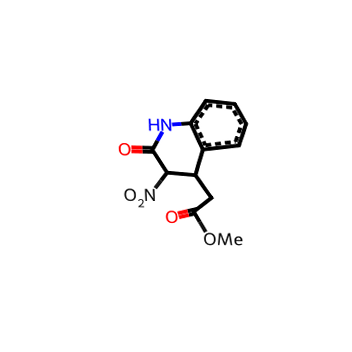 COC(=O)CC1c2ccccc2NC(=O)C1[N+](=O)[O-]